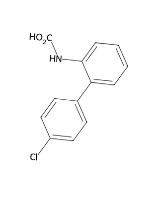 O=C(O)Nc1ccccc1-c1ccc(Cl)cc1